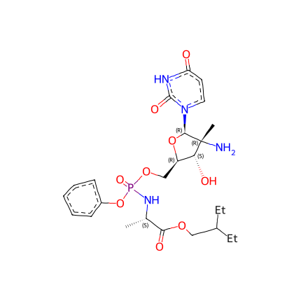 CCC(CC)COC(=O)[C@H](C)NP(=O)(OC[C@H]1O[C@@H](n2ccc(=O)[nH]c2=O)[C@](C)(N)[C@@H]1O)Oc1ccccc1